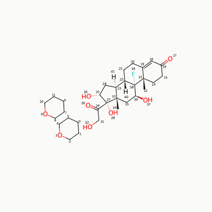 C1CCOCC1.C1CCOCC1.C[C@]12CCC(=O)C=C1CC[C@H]1[C@@H]3C[C@@H](O)[C@](O)(C(=O)CO)[C@@]3(C)C[C@H](O)[C@@]12F